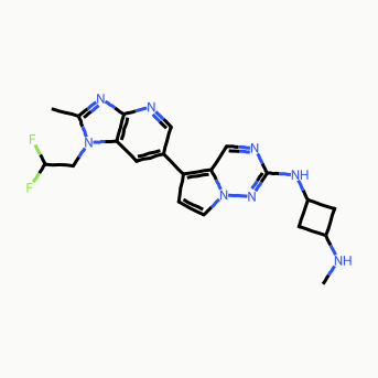 CNC1CC(Nc2ncc3c(-c4cnc5nc(C)n(CC(F)F)c5c4)ccn3n2)C1